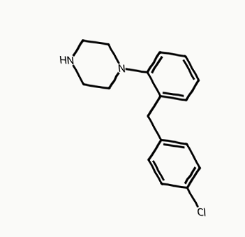 Clc1ccc(Cc2ccccc2N2CCNCC2)cc1